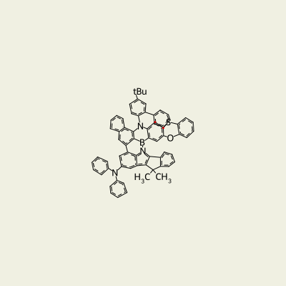 CC(C)(C)c1ccc(N2c3cc4c(cc3B3c5c(cc6ccccc6c52)-c2cc(N(c5ccccc5)c5ccccc5)cc5c6c(n3c25)-c2ccccc2C6(C)C)Oc2ccccc2S4)c(-c2ccccc2)c1